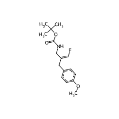 COc1ccc(CC(=CF)CNC(=O)OC(C)(C)C)cc1